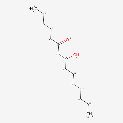 [CH2]CCCCC(=O)CC(O)CCCCCCC